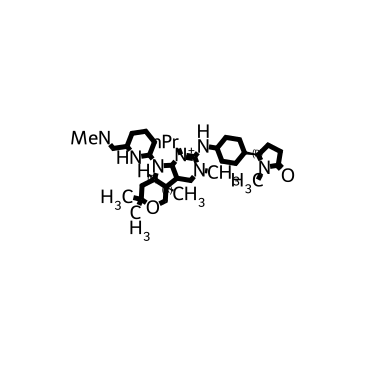 CCC[N+]1=C(NC2CCC([C@H]3CCC(=O)N3C)CC2)N(C)CC2C1N(C1CCCC(CNC)N1)[C@@H]1CC(C)(C)OC[C@]21C